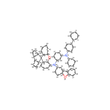 c1ccc(-c2ccc(N(c3ccccc3)c3cccc(N(c4ccc5oc6ccccc6c5c4)c4cccc5c4Oc4ccccc4C54c5ccccc5-c5ccccc54)c3)cc2)cc1